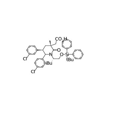 CCC(C)[C@@H](CO[Si](c1ccccc1)(c1ccccc1)C(C)(C)C)N1C(=O)[C@@](C)(CC(=O)O)C[C@H](c2cccc(Cl)c2)C1c1ccc(Cl)cc1